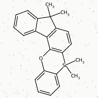 CC1(C)c2ccccc2-c2c1ccc1c2Oc2ccccc2[Si]1(C)C